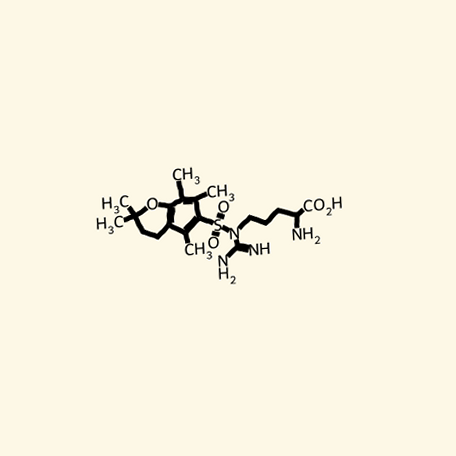 Cc1c(C)c(S(=O)(=O)N(CCCC(N)C(=O)O)C(=N)N)c(C)c2c1OC(C)(C)CC2